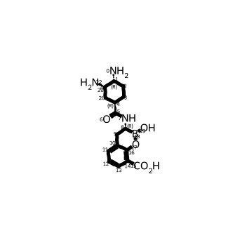 N[C@@H]1CC[C@@H](C(=O)N[C@H]2Cc3cccc(C(=O)O)c3OB2O)C[C@H]1N